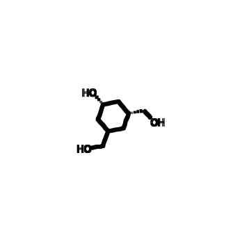 OCC1C[C@H](O)C[C@H](CO)C1